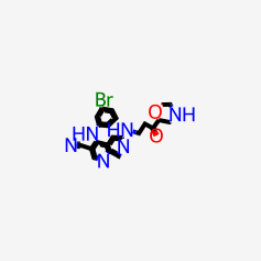 N#Cc1cnc2cnc(NCCC(=O)C3CNCCO3)cc2c1Nc1cccc(Br)c1